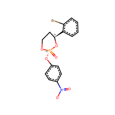 O=[N+]([O-])c1ccc(O[P@]2(=O)OCC[C@@H](c3ccccc3Br)O2)cc1